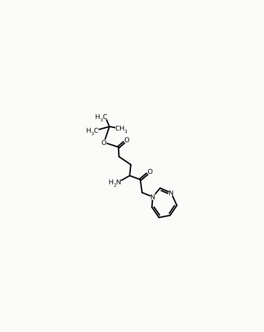 CC(C)(C)OC(=O)CCC(N)C(=O)CN1C=CC=CN=C1